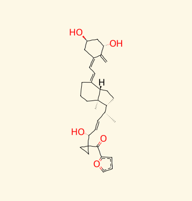 C=C1/C(=C\C=C2/CCC[C@]3(C)[C@@H]([C@H](C)/C=C/[C@@H](O)C4(C(=O)c5ccco5)CC4)CC[C@@H]23)C[C@@H](O)C[C@@H]1O